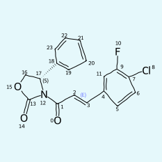 O=C(/C=C/c1ccc(Cl)c(F)c1)N1C(=O)OC[C@@H]1c1ccccc1